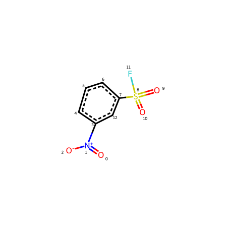 O=[N+]([O-])c1cccc(S(=O)(=O)F)c1